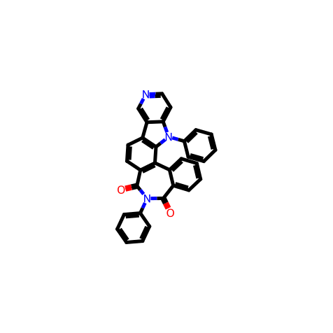 O=c1c2ccccc2c2c(ccc3c4cnccc4n(-c4ccccc4)c32)c(=O)n1-c1ccccc1